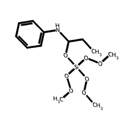 CCC(Nc1ccccc1)O[Si](OOC)(OOC)OOC